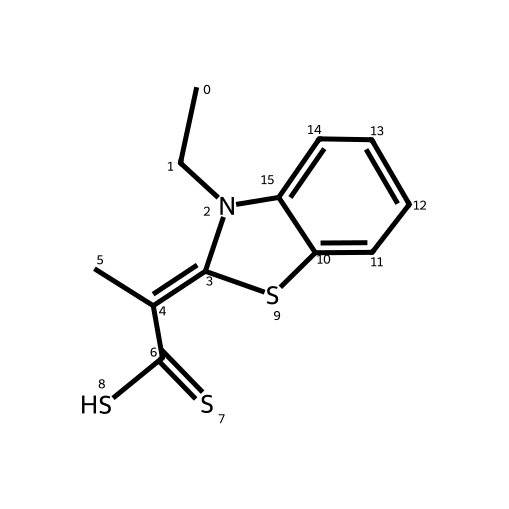 CCN1C(=C(C)C(=S)S)Sc2ccccc21